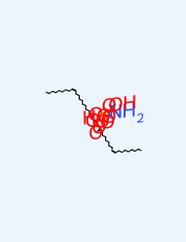 CCCCCCCC/C=C\CCCCCCCCCC(=O)O[C@H](COC(=O)CCCCCCC/C=C\CCCCCCCC)COP(=O)(O)OC[C@H](N)C(=O)O